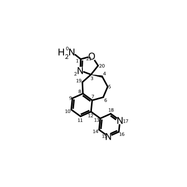 NC1=N[C@]2(CCCc3c(cccc3-c3cncnc3)C2)CO1